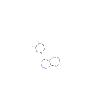 Clc1ccc(-c2ncnc3cnccc23)cc1Br